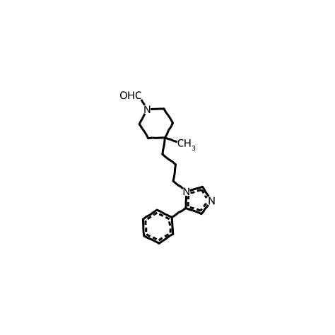 CC1(CCCn2cncc2-c2ccccc2)CCN(C=O)CC1